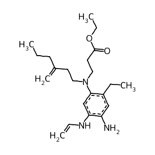 C=CNc1cc(N(CCC(=C)CCC)CCC(=O)OCC)c(CC)cc1N